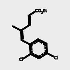 CCOC(=O)C=CC(C)=Cc1ccc(Cl)cc1Cl